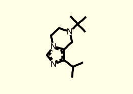 CC(C)c1ncn2c1CN(C(C)(C)C)CC2